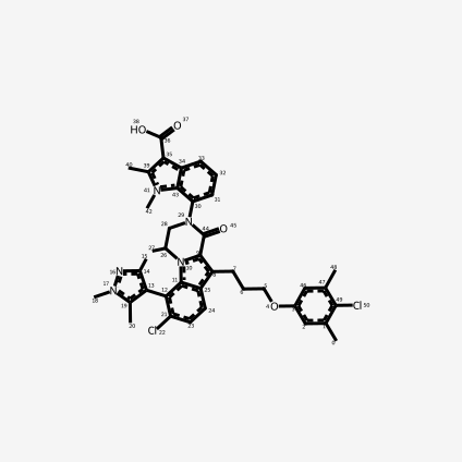 Cc1cc(OCCCc2c3n(c4c(-c5c(C)nn(C)c5C)c(Cl)ccc24)C(C)CN(c2cccc4c(C(=O)O)c(C)n(C)c24)C3=O)cc(C)c1Cl